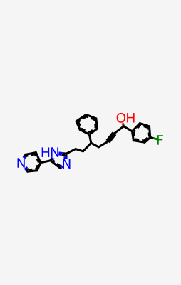 OC(C#CCC(CCc1ncc(-c2ccncc2)[nH]1)c1ccccc1)c1ccc(F)cc1